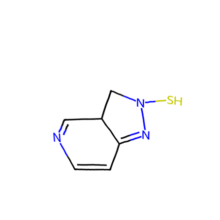 SN1CC2C=NC=CC2=N1